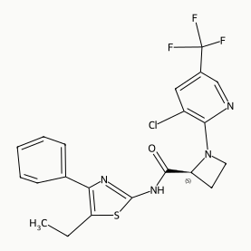 CCc1sc(NC(=O)[C@@H]2CCN2c2ncc(C(F)(F)F)cc2Cl)nc1-c1ccccc1